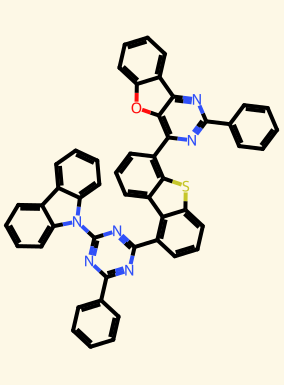 c1ccc(-c2nc(-c3cccc4sc5c(-c6nc(-c7ccccc7)nc7c6oc6ccccc67)cccc5c34)nc(-n3c4ccccc4c4ccccc43)n2)cc1